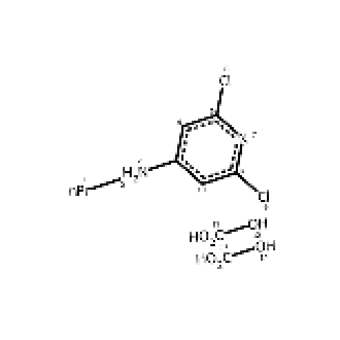 CCCC.Nc1cc(Cl)nc(Cl)c1.O=C(O)O.O=C(O)O